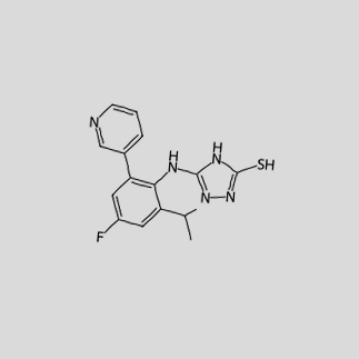 CC(C)c1cc(F)cc(-c2cccnc2)c1Nc1nnc(S)[nH]1